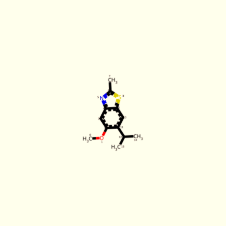 COc1cc2nc(C)sc2cc1C(C)C